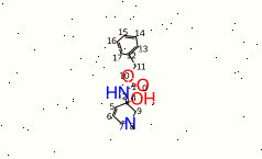 O=C(NC1(O)C=CC=NC1)OCc1ccccc1